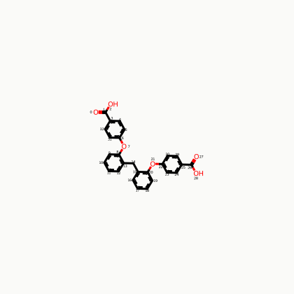 O=C(O)c1ccc(Oc2ccccc2Cc2ccccc2Oc2ccc(C(=O)O)cc2)cc1